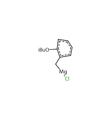 CC(C)COc1ccccc1[CH2][Mg][Cl]